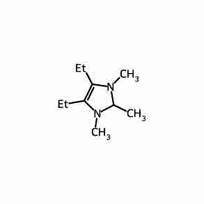 CCC1=C(CC)N(C)C(C)N1C